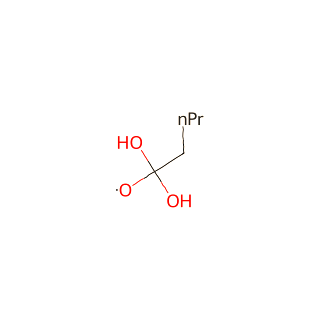 CCCCC([O])(O)O